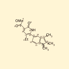 CCc1cc(C(=O)OC)c(=O)[nH]c1-c1ccc2c(c1)c(C)c(C)n2C